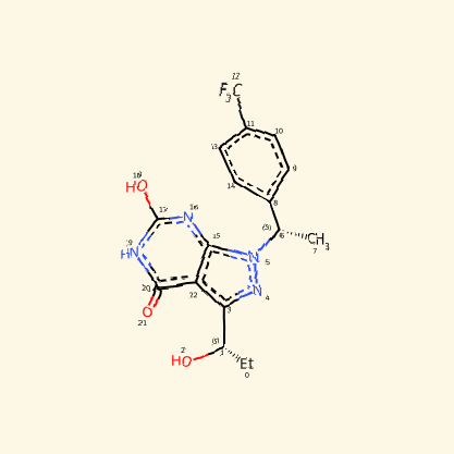 CC[C@H](O)c1nn([C@@H](C)c2ccc(C(F)(F)F)cc2)c2nc(O)[nH]c(=O)c12